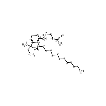 CCC(C)(C)c1cccc(O)c1CCCCCCCCCCCCO.CCOC(C)=O